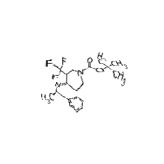 C[C@@H](/N=C1\CCN(C(=O)OC(C)(C)C)CC1C(F)(F)F)c1ccccc1